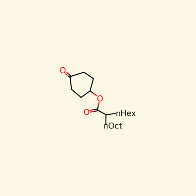 CCCCCCCCC(CCCCCC)C(=O)OC1CCC(=O)CC1